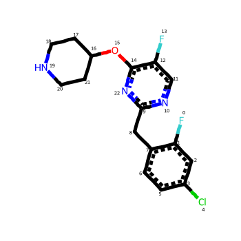 Fc1cc(Cl)ccc1Cc1ncc(F)c(OC2CCNCC2)n1